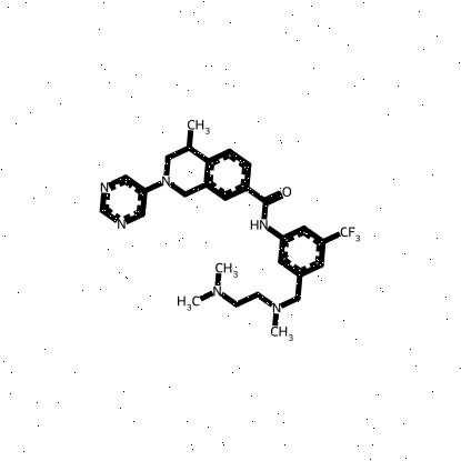 CC1CN(c2cncnc2)Cc2cc(C(=O)Nc3cc(CN(C)CCN(C)C)cc(C(F)(F)F)c3)ccc21